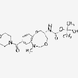 CN1COC[C@@H](NC(=O)OC(C)(C)C)COc2ccc(C(=O)N3CCOCC3)cc21